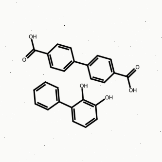 O=C(O)c1ccc(-c2ccc(C(=O)O)cc2)cc1.Oc1cccc(-c2ccccc2)c1O